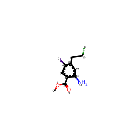 COC(=O)c1cc(I)c(CCF)cc1N